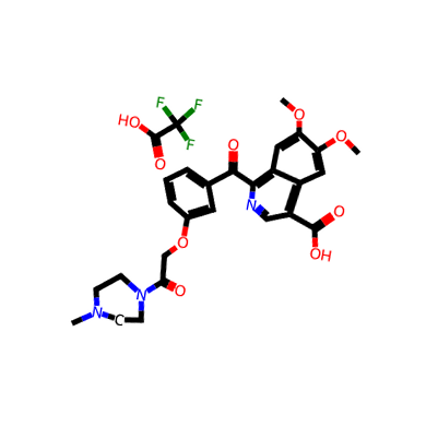 COc1cc2c(C(=O)O)cnc(C(=O)c3cccc(OCC(=O)N4CCN(C)CC4)c3)c2cc1OC.O=C(O)C(F)(F)F